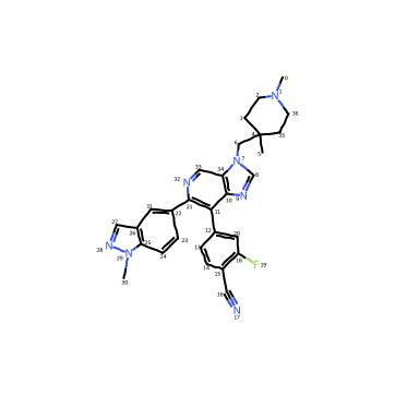 CN1CCC(C)(Cn2cnc3c(-c4ccc(C#N)c(F)c4)c(-c4ccc5c(cnn5C)c4)ncc32)CC1